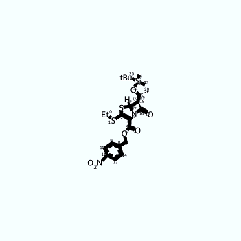 CCSC1=C(C(=O)OCc2ccc([N+](=O)[O-])cc2)N2C(=O)[C@H]([C@@H](C)O[Si](C)(C)C(C)(C)C)[C@H]2S1